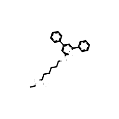 CCOC(=O)CCCCCOc1cc(-c2ccccc2)cc(-c2ccccc2)n1